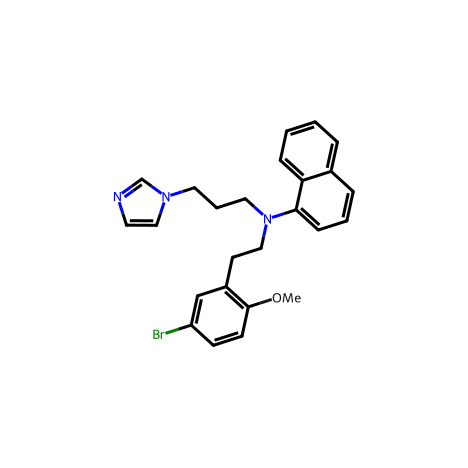 COc1ccc(Br)cc1CCN(CCCn1ccnc1)c1cccc2ccccc12